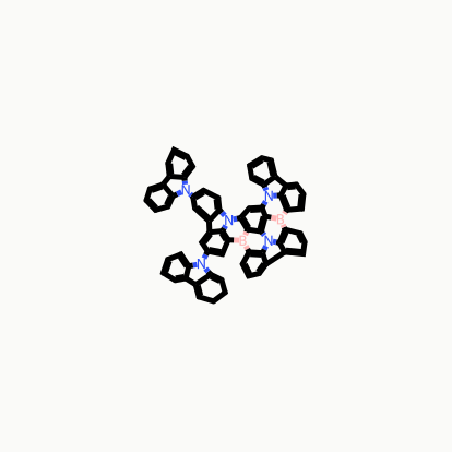 C1=c2c(n(-c3cc4c5c(c3)c3cc(-n6c7ccccc7c7ccccc76)ccc3n5-c3cc5c6c7c3B4c3cccc4c8cccc(c8n-7c34)B6c3cccc4c6ccccc6n-5c34)c3ccccc23)=CCC1